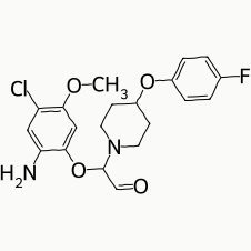 COc1cc(OC(C=O)N2CCC(Oc3ccc(F)cc3)CC2)c(N)cc1Cl